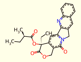 CC[C@@H](C)C(=O)O[C@]1(CC)C(=O)OCc2c1cc1n(c2=O)Cc2cc3ccccc3nc2-1